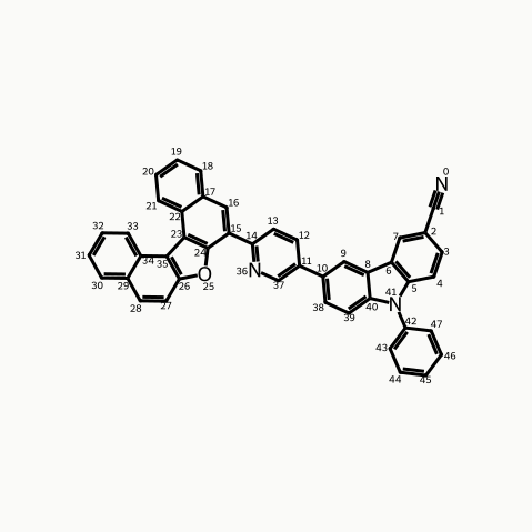 N#Cc1ccc2c(c1)c1cc(-c3ccc(-c4cc5ccccc5c5c4oc4ccc6ccccc6c45)nc3)ccc1n2-c1ccccc1